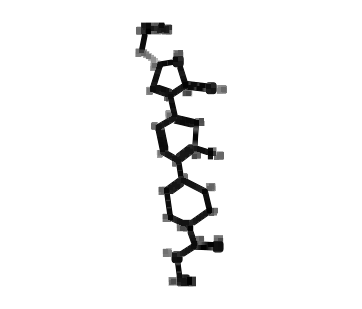 CC(=O)NC[C@H]1C=C(c2ccc(C3=CCN(C(=O)OC(C)(C)C)CC3)c(F)c2)C(=O)O1